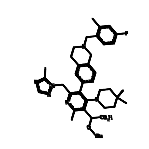 Cc1cc(F)ccc1CN1CCc2cc(-c3c(Cn4ncnc4C)nc(C)c(C(OC(C)(C)C)C(=O)O)c3N3CCC(C)(C)CC3)ccc2C1